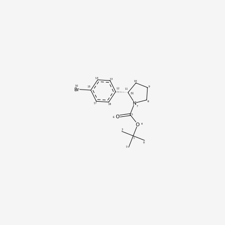 CC(C)(C)OC(=O)N1CCC[C@H]1c1ccc(Br)cc1